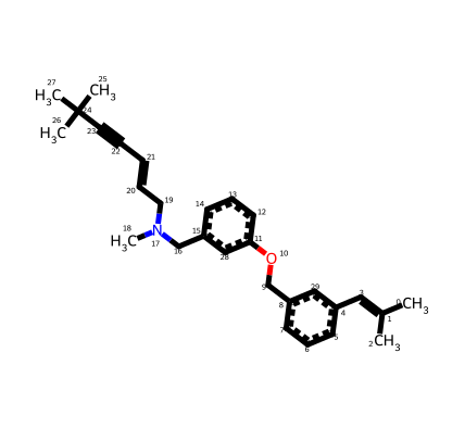 CC(C)=Cc1cccc(COc2cccc(CN(C)CC=CC#CC(C)(C)C)c2)c1